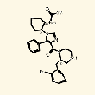 O=C(O)N[C@H]1CCCC[C@@H]1n1cnc(C(=O)N2CCNC[C@H]2Cc2ccccc2Br)c1-c1ccccc1